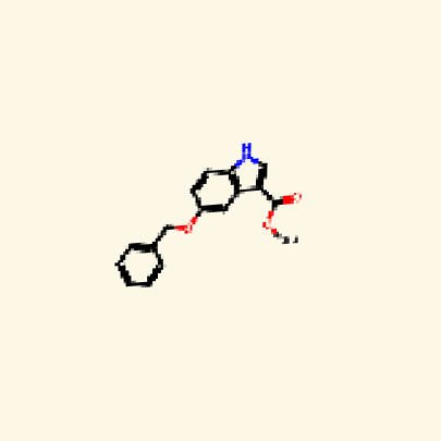 CC(C)(C)OC(=O)c1c[nH]c2ccc(OCc3ccccc3)cc12